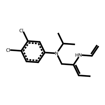 C=CN/C(=C\C)CN(c1ccc(Cl)c(Cl)c1)C(C)C